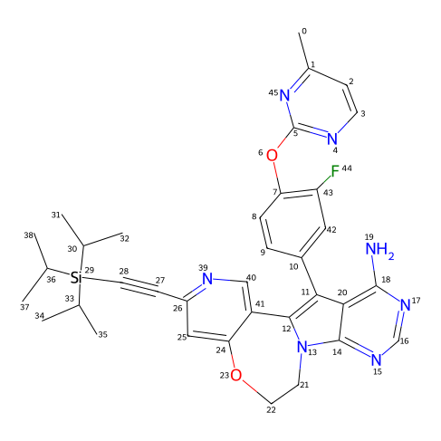 Cc1ccnc(Oc2ccc(-c3c4n(c5ncnc(N)c35)CCOc3cc(C#C[Si](C(C)C)(C(C)C)C(C)C)ncc3-4)cc2F)n1